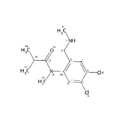 CNCc1cc(Cl)c(Cl)cc1N(C)C(=O)C(C)C